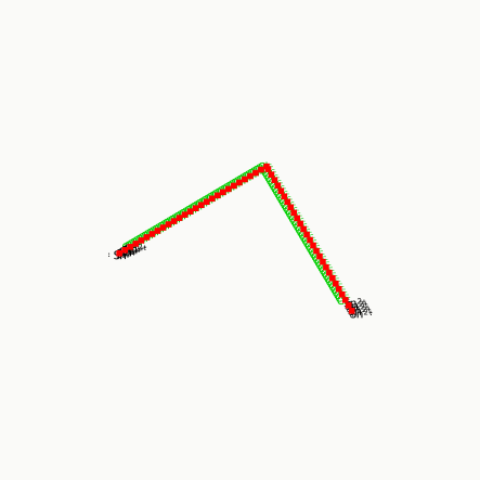 [Cl-].[Cl-].[Cl-].[Cl-].[Cl-].[Cl-].[Cl-].[Cl-].[Cl-].[Cl-].[Cl-].[Cl-].[Cl-].[Cl-].[Cl-].[Cl-].[Cl-].[Cl-].[Cl-].[Cl-].[Cl-].[Cl-].[Cl-].[Cl-].[Cl-].[Cl-].[Cl-].[Cl-].[Cl-].[Cl-].[Cl-].[Cl-].[Cl-].[Cl-].[Cl-].[Cl-].[Cl-].[Cl-].[Cl-].[Cl-].[Cl-].[Cl-].[Cl-].[Cl-].[Cl-].[Cl-].[Cl-].[Cl-].[Cl-].[Cl-].[Cl-].[Cl-].[Cl-].[Cl-].[Cl-].[Cl-].[Cl-].[Cl-].[Cl-].[Cl-].[Cl-].[Cl-].[Cl-].[Cl-].[Cl-].[Cl-].[Cl-].[Cl-].[Cl-].[Cl-].[Cl-].[Cl-].[Cl-].[Cl-].[Cl-].[Cl-].[Cl-].[Cl-].[Cl-].[Cl-].[Cl-].[Cl-].[Cl-].[Cl-].[Cl-].[Cl-].[Cl-].[Cl-].[Cl-].[Cl-].[Cl-].[Cl-].[Cl-].[Cl-].[Cl-].[Cl-].[Cl-].[Cl-].[Cl-].[Cl-].[Sn+2].[Sn+2].[Sn+2].[Sn+2].[Sn+2].[Sn+2].[Sn+2].[Sn+2].[Sn+2].[Sn+2]